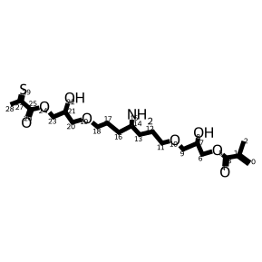 C=C(C)C(=O)OCC(O)COCCCC(N)CCCOCC(O)COC(=O)C(C)=S